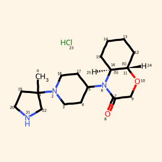 CC1(N2CCC(N3C(=O)CO[C@H]4CCCC[C@@H]43)CC2)CCNC1.Cl